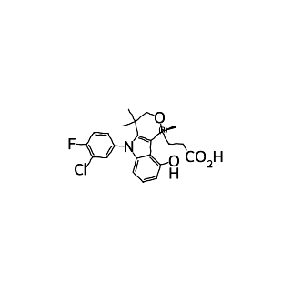 CC1(C)CO[C@](C)(CCC(=O)O)c2c1n(-c1ccc(F)c(Cl)c1)c1cccc(O)c21